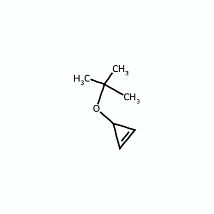 CC(C)(C)OC1C=C1